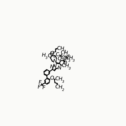 C=CCOC1(C)CCN(c2c(C(OC(C)(C)C)C(=O)OC)c(C)nc3cc(-c4cccc(-c5cc(C(F)(F)F)ccc5OC(C)CC=C)c4)nn23)CC1